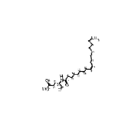 CCCCCCCC/C=C\CCCCCCCC(=O)N[C@H]([C]=O)CCC(=O)O